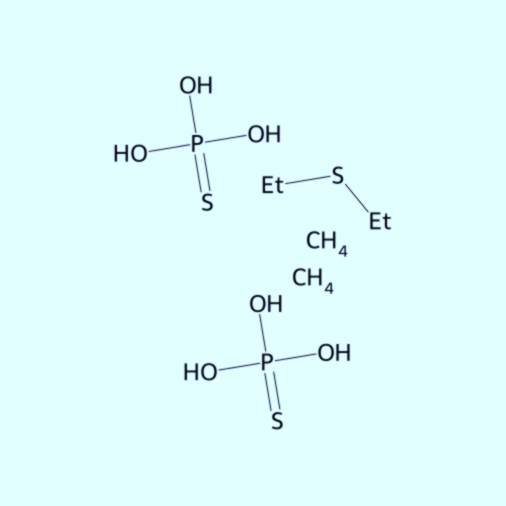 C.C.CCSCC.OP(O)(O)=S.OP(O)(O)=S